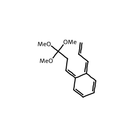 C=C/C=c1/cccc/c1=C/CC(OC)(OC)OC